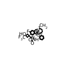 C=C[C@H]1CC[C@H](c2ccccc2)S(=O)(=O)N1Cc1cc(F)c([C@]2(c3n[nH]c(=O)o3)C[C@](O)(C(F)(F)F)C2)cc1F